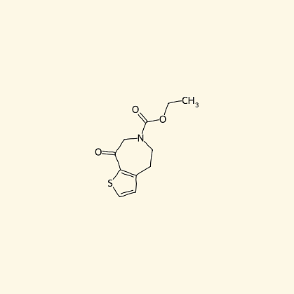 CCOC(=O)N1CCc2ccsc2C(=O)C1